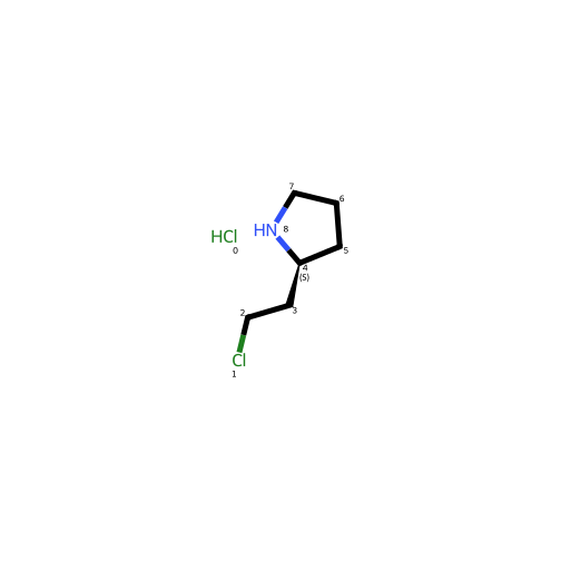 Cl.ClCC[C@@H]1CCCN1